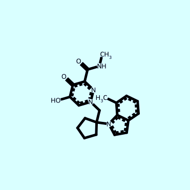 CNC(=O)c1nn(CC2(n3ccc4cccc(C)c43)CCCC2)cc(O)c1=O